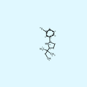 CC(C)(CO)C1CCC(c2cccc(F)c2)N1